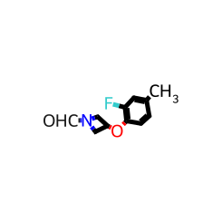 Cc1ccc(OC2CN(C=O)C2)c(F)c1